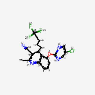 Cc1nc2cccc(Oc3ncc(Cl)cn3)c2c(CCCC(F)(F)F)c1C#N